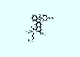 CCCCN(C)C(=O)c1nc(N)nc2ccc(-c3ccccc3S(=O)(=O)N3CCN(C)CC3)cc12